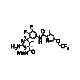 CNC(=O)[C@@]1(C)SC(N)=N[C@](C)(c2cc(NC(=O)c3ncc(OCC(F)(F)F)cc3C)cc(F)c2F)C1C